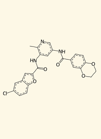 Cc1ncc(NC(=O)c2ccc3c(c2)OCCO3)cc1NC(=O)c1cc2cc(Cl)ccc2o1